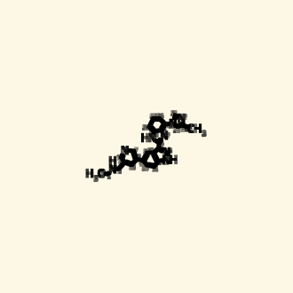 CCNCc1cncc(-c2ccc3[nH]nc(-c4nc5c(-n6cnc(C)c6)cccc5[nH]4)c3c2)c1